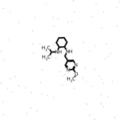 COc1ncc(CNC2CCCCC2NC(C)C)cn1